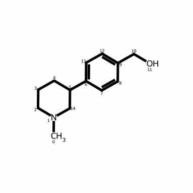 CN1CCCC(c2ccc(CO)cc2)C1